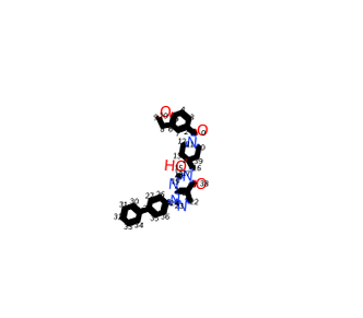 O=C(c1ccc2c(c1)CCO2)N1CCC(O)(Cn2cnc3c(cnn3-c3ccc(-c4ccccc4)cc3)c2=O)CC1